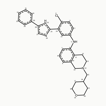 Clc1ccc(Nc2cccc3c2CCN(CC2CCOCC2)C3)cc1-c1ncc(-c2ccccc2)[nH]1